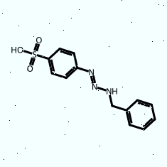 O=S(=O)(O)c1ccc(/N=N/NCc2ccccc2)cc1